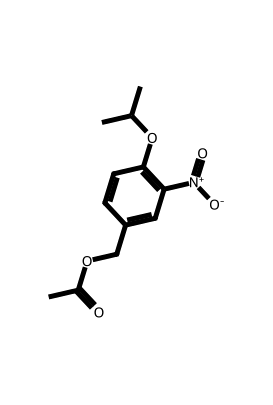 CC(=O)OCc1ccc(OC(C)C)c([N+](=O)[O-])c1